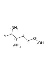 CC(N)C(N)CCOO